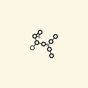 c1ccc(-c2ccc(N(c3ccc(-c4ccccc4)cc3)c3ccc(-c4cc(-c5cccc6c5sc5ccccc56)cc(C5CCCCC5)c4)cc3)cc2)cc1